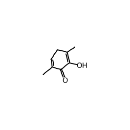 CC1=CCC(C)=C(O)C1=O